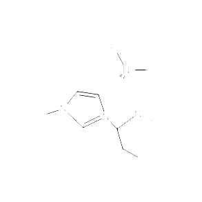 CCC(N)[n+]1ccn(C)c1.O=[N+]([O-])[O-]